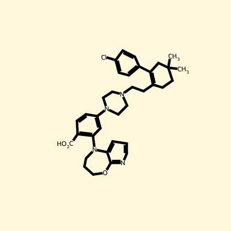 CC1(C)CCC(CCN2CCN(c3ccc(C(=O)O)c(N4CCCOc5ncccc54)c3)CC2)=C(c2ccc(Cl)cc2)C1